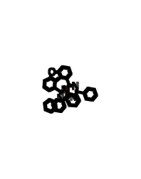 c1ccc(-c2nc(-c3ccccc3)nc(-c3cccc4oc5cccc(-c6nc7ccccc7n6-c6ccccc6)c5c34)n2)cc1